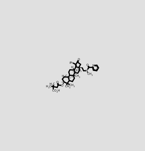 CC(C)C1=C2[C@H]3CCC4[C@@]5(C)CC[C@H](OC(=O)CC(C)(C)C(=O)O)C(C)(C)C5CC[C@@]4(C)[C@]3(C)CC[C@@]2(CCN(C)C(=O)c2ccccn2)CC1=O